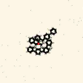 c1ccc(-c2ccc(-c3nc(-n4c5c(ccc6oc7ccccc7c65)c5ccc6c7ccccc7n(-c7cccc8ccccc78)c6c54)nc4ccccc34)cc2)cc1